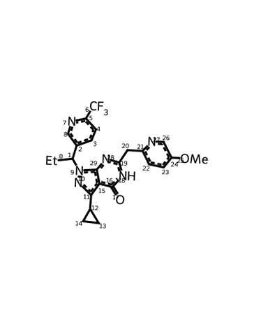 CCC(c1ccc(C(F)(F)F)nc1)n1nc(C2CC2)c2c(=O)[nH]c(Cc3ccc(OC)cn3)nc21